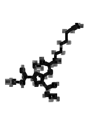 COC(=O)c1sc(C(=O)OC)c(OC(=O)NCCCCCC#N)c1C